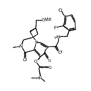 COCC1CC2(C1)CN(C)C(=O)c1c(OC(=O)N(C)C)c(=O)c(C(=O)NCc3cccc(Cl)c3F)cn12